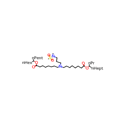 CCCCCCCC(CCC)OC(=O)CCCCCCCN(CCCCCCCC(=O)OC(CCCCC)CCCCCC)CCCN(C)S(C)(=O)=O